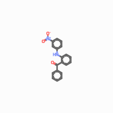 O=C(c1ccccc1)c1ccccc1Nc1cccc([N+](=O)[O-])c1